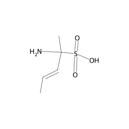 CC=CC(C)(N)S(=O)(=O)O